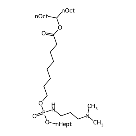 CCCCCCCCC(CCCCCCCC)OC(=O)CCCCCCCOP(=O)(NCCCN(C)C)OCCCCCCC